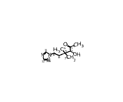 CC(=O)C(O)C(C)(C)CCn1cncn1